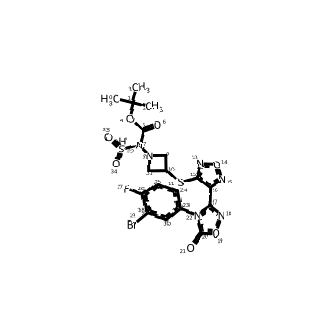 CC(C)(C)OC(=O)N(N1CC(Sc2nonc2-c2noc(=O)n2-c2ccc(F)c(Br)c2)C1)[SH](=O)=O